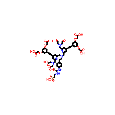 O=CCN(CC=O)Cc1cc(C#Cc2cc(OCC(=O)O)cc(OCC(=O)O)c2)cc(CN(CCc2ccc(NC(=S)NCCS(=O)(=O)O)cc2)Cc2cc(C#Cc3cc(OCC(=O)O)cc(OCC(=O)O)c3)cc(CN(CC(=O)O)CC(=O)O)n2)n1